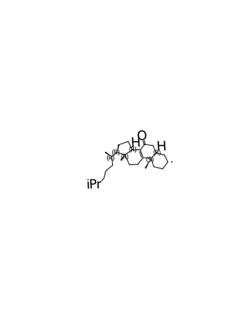 CC(C)CCC[C@@H](C)[C@H]1CC[C@H]2C3=C(CC[C@]12C)[C@@]1(C)CC[CH]C[C@@H]1CC3=O